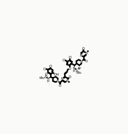 Cn1cc(C(=O)N2CCC([C@@H](N[S@@+]([O-])C(C)(C)C)c3cc(Cl)c(Cl)cc3OC/C=C/c3nc(C(=O)N4CCC([C@@H](N[S@@+]([O-])C(C)(C)C)c5cc(Cl)c(Cl)cc5O)CC4)cn(C)c3=O)CC2)ncc1=O